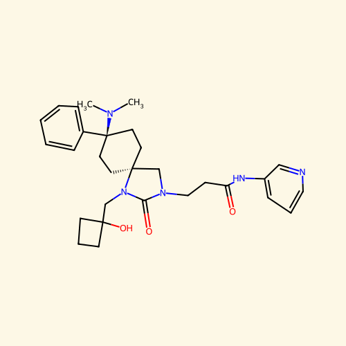 CN(C)[C@]1(c2ccccc2)CC[C@]2(CC1)CN(CCC(=O)Nc1cccnc1)C(=O)N2CC1(O)CCC1